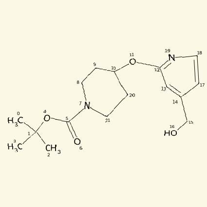 CC(C)(C)OC(=O)N1CCC(Oc2cc(CO)ccn2)CC1